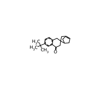 CC(C)(C)c1ccc2c(c1)C(=O)CC1(CC3=CCC1C3)C2